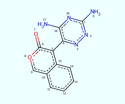 Nc1nnc(-c2c(=O)occ3ccccc23)c(N)n1